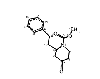 COC(=O)N1CCC(=O)CC1CCc1ccccc1